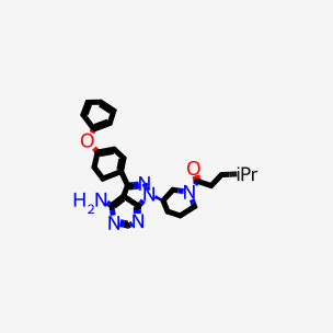 CC(C)CCC(=O)N1CCC[C@@H](n2nc(C3=CC=C(Oc4ccccc4)CC3)c3c(N)ncnc32)C1